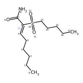 CCCCC/C=C(/C(N)=O)S(=O)(=O)CCCCC